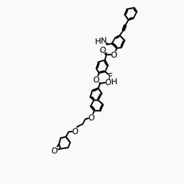 N=Cc1cc(C#Cc2ccccc2)ccc1OC(=O)c1ccc(OC(O)c2ccc3cc(OCCCOCC4CCC5OC5C4)ccc3c2)c(F)c1